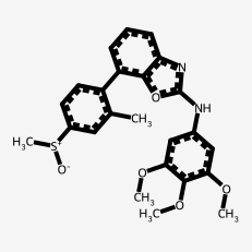 COc1cc(Nc2nc3cccc(-c4ccc([S+](C)[O-])cc4C)c3o2)cc(OC)c1OC